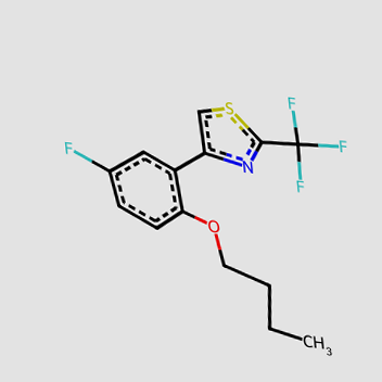 CCCCOc1ccc(F)cc1-c1csc(C(F)(F)F)n1